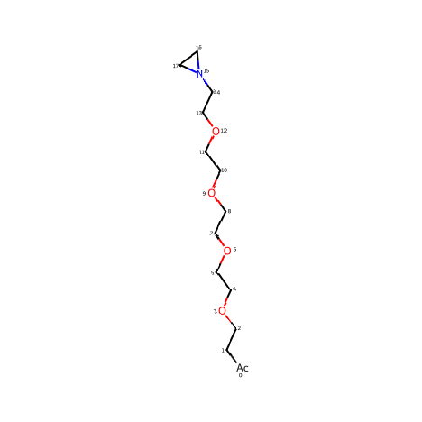 CC(=O)CCOCCOCCOCCOCCN1CC1